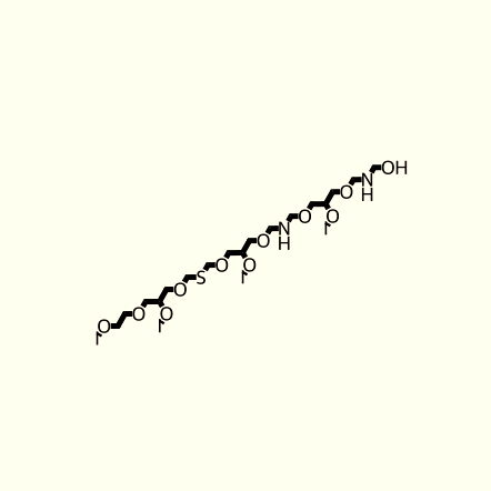 OCNCOCC(COCNCOCC(COCSCOCC(COCCOI)OI)OI)OI